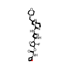 O=C(NC12CC(C1)C2)O[C@H]1CO[C@@H](c2cc(Nc3nccc4nc(CN5CCOCC5)cn34)n[nH]2)[C@H]1F